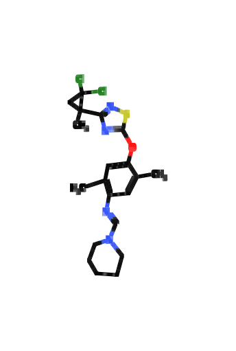 Cc1cc(Oc2nc(C3(C)CC3(Cl)Cl)ns2)c(C)cc1N=CN1CCCCC1